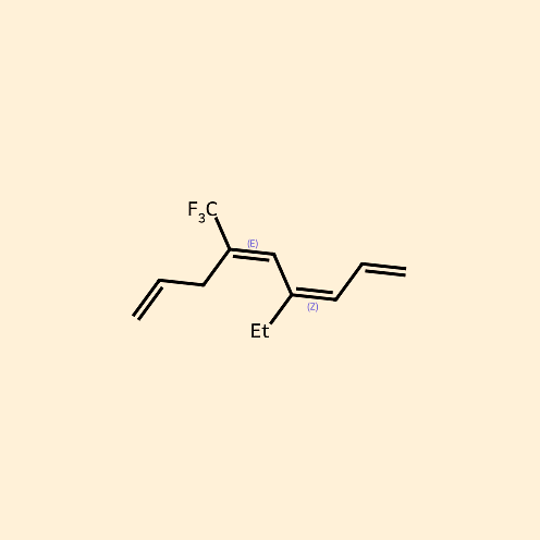 C=C/C=C(\C=C(/CC=C)C(F)(F)F)CC